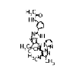 [C-]#[N+]c1c(C)nn(-c2ncccn2)c1/N=N/c1c(C(C)(C)C)nn2nc(-c3cccc(NC(C)=O)c3)[nH]c12